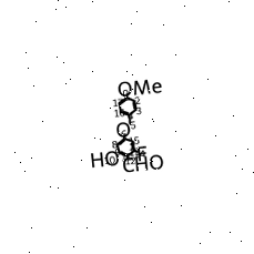 COc1ccc(COc2cc(O)c(C=O)c(F)c2)cc1